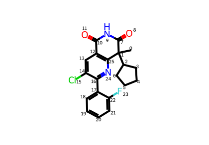 CC1(C2CCCC2)C(=O)NC(=O)c2cc(Cl)c(-c3ccccc3F)nc21